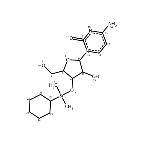 C[Si](C)(OC1C(CO)OC(n2ccc(N)nc2=O)C1O)C1CCCCC1